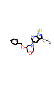 Cc1cn(S)c2ncc(N3CCOCC(OCc4ccccc4)C3)cc12